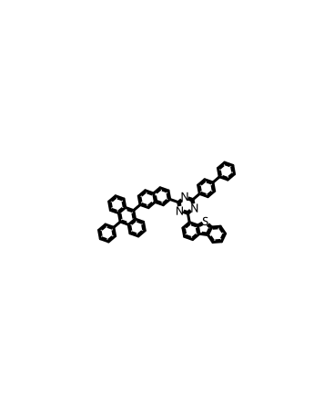 c1ccc(-c2ccc(-c3nc(-c4ccc5ccc(-c6c7ccccc7c(-c7ccccc7)c7ccccc67)cc5c4)nc(-c4cccc5c4sc4ccccc45)n3)cc2)cc1